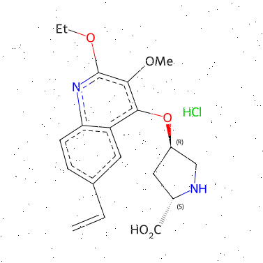 C=Cc1ccc2nc(OCC)c(OC)c(O[C@H]3CN[C@H](C(=O)O)C3)c2c1.Cl